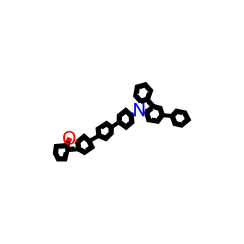 c1ccc(-c2ccc3c(c2)c2ccccc2n3-c2ccc(-c3ccc(-c4ccc5c(c4)oc4ccccc45)cc3)cc2)cc1